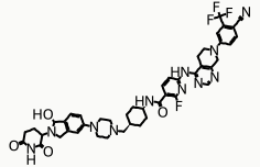 N#Cc1ccc(N2CCc3c(ncnc3Nc3ccc(C(=O)N[C@H]4CC[C@H](CN5CCN(c6ccc7c(c6)CN(C6CCC(=O)NC6=O)C7O)CC5)CC4)c(F)n3)C2)cc1C(F)(F)F